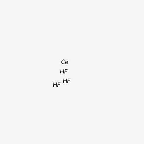 F.F.F.[Ce]